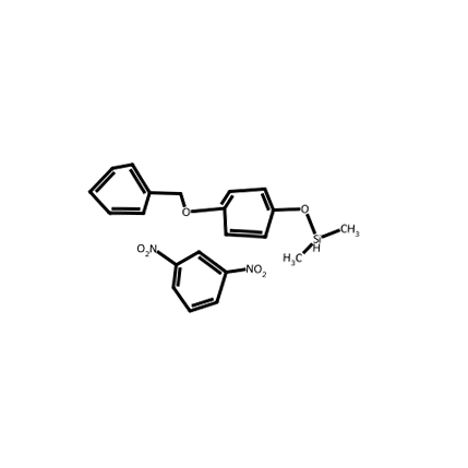 C[SiH](C)Oc1ccc(OCc2ccccc2)cc1.O=[N+]([O-])c1cccc([N+](=O)[O-])c1